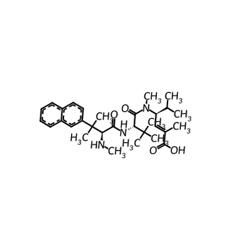 CN[C@H](C(=O)N[C@H](C(=O)N(C)[C@H](/C=C(\C)C(=O)O)C(C)C)C(C)(C)C)C(C)(C)c1ccc2ccccc2c1